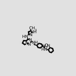 Cc1cc(Nc2nc(NCc3ccc(C(=O)Nc4ccccc4N)cc3)nn3cccc23)n[nH]1